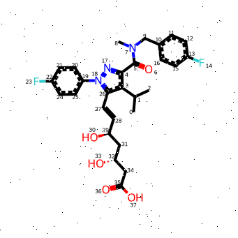 CC(C)c1c(C(=O)N(C)Cc2ccc(F)cc2)nn(-c2ccc(F)cc2)c1/C=C/[C@H](O)C[C@@H](O)CC(=O)O